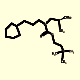 CO[C@H](N)CN(CCCC1CCCCC1)C(=O)OCC[Si](C)(C)C